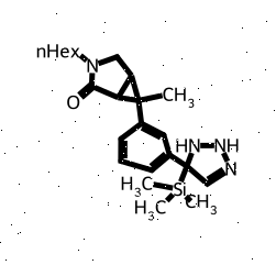 CCCCCCN1CC2C(C1=O)C2(C)c1cccc(C2([Si](C)(C)C)C=NNN2)c1